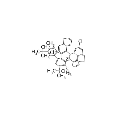 Cc1cc2c(cc1C(C)(C)C)-c1cc(C(C)(C)C)c(C)[c]([Zr]([C]3=CC=CC3)=[C](c3cc(Cl)cc4ccccc34)c3cc(Cl)cc4ccccc34)c1C2